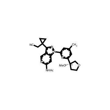 CO[C@@]1(c2cc(C)cc(-n3nc(C4(CC#N)CC4)c4cnc(NC(C)=O)cc43)n2)CCOC1